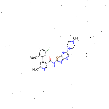 COc1ccc(Cl)cc1-c1cc(C)ncc1C(=O)Nc1nc2ncc(N3CCN(C)CC3)nc2s1